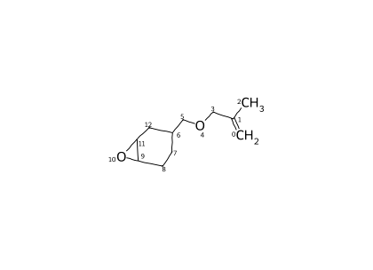 C=C(C)COCC1CCC2OC2C1